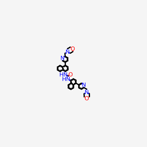 O=C(Nc1ccc(-c2ccc(CN3CCOCC3)nc2)c2ccccc12)Nc1ccc(-c2ccc(CN3CCOCC3)nc2)c2ccccc12